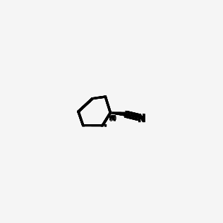 N#C[C@H]1[CH]CCCC1